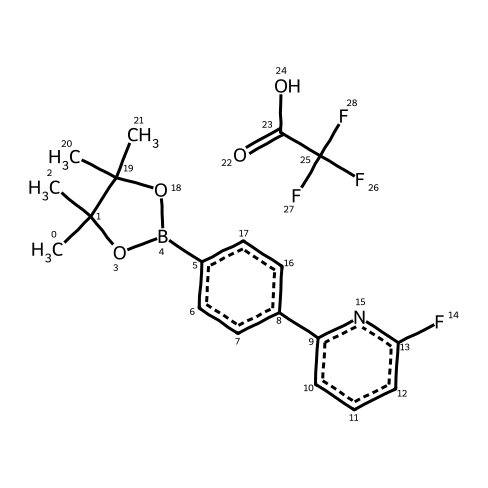 CC1(C)OB(c2ccc(-c3cccc(F)n3)cc2)OC1(C)C.O=C(O)C(F)(F)F